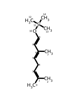 CC(C)=CC/C=C(C)/C=C/O[Si](C)(C)C